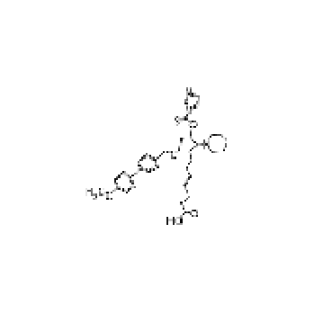 COc1ccc(-c2ccc(COC3CC(OC(=S)n4ccnc4)C(N4CCCCC4)C3CCC=CCCC(=O)O)cc2)cc1